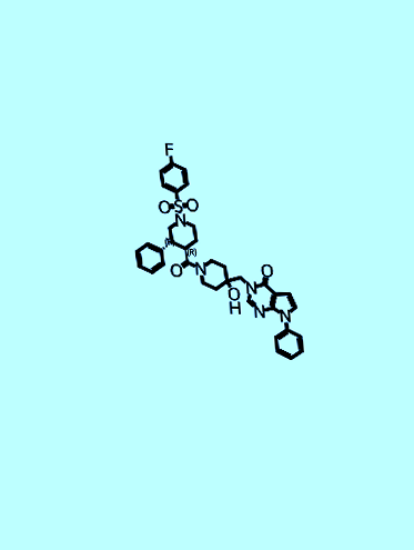 O=C([C@@H]1CCN(S(=O)(=O)c2ccc(F)cc2)C[C@H]1c1ccccc1)N1CCC(O)(Cn2cnc3c(ccn3-c3ccccc3)c2=O)CC1